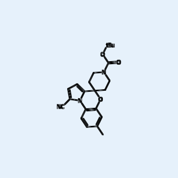 Cc1ccc2c(c1)OC1(CCN(C(=O)OC(C)(C)C)CC1)c1ccc(C#N)n1-2